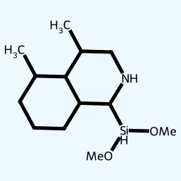 CO[SiH](OC)C1NCC(C)C2C(C)CCCC21